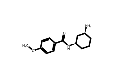 COc1ccc(C(=O)N[C@@H]2CCC[C@H](N)C2)cc1